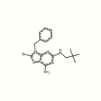 CC(C)(C)CNc1nc(N)c2nc(Br)n(Cc3ccccc3)c2n1